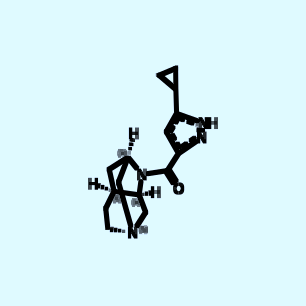 O=C(c1cc(C2CC2)[nH]n1)N1[C@@H]2C[C@@H]3CC[N@](C2)C[C@@H]31